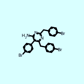 Nc1nc(Cc2ccc(Br)cc2)nc(Cc2ccc(Br)cc2)c1-c1ccc(Br)cc1